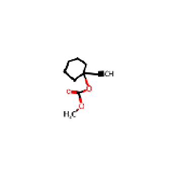 C#CC1(OC(=O)OC)CCCCC1